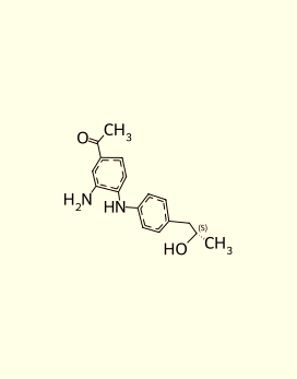 CC(=O)c1ccc(Nc2ccc(C[C@H](C)O)cc2)c(N)c1